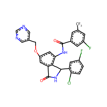 O=C(Nc1cc(OCc2cncnc2)cc2c1C(c1cc(F)ccc1Cl)NC2=O)c1cc(F)cc(C(F)(F)F)c1